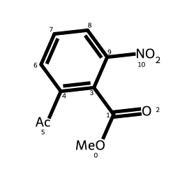 COC(=O)c1c(C(C)=O)cccc1[N+](=O)[O-]